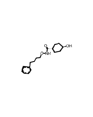 O=C(NOCCCCc1ccccc1)[C@H]1CC[C@H](O)CC1